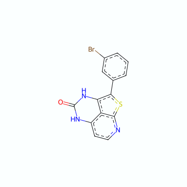 O=C1Nc2ccnc3sc(-c4cccc(Br)c4)c(c23)N1